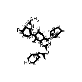 CC(CN1C2CCC1CNC2)Oc1nc(N2CC3CCC(C2)N3)c2cc(Cl)c(-c3ccc(F)c4sc(N)nc34)c(F)c2n1